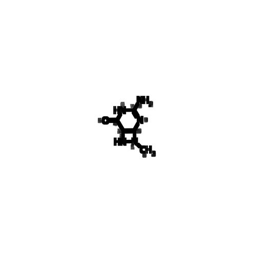 Cn1[nH]c2c(=O)[nH]c(N)nc21